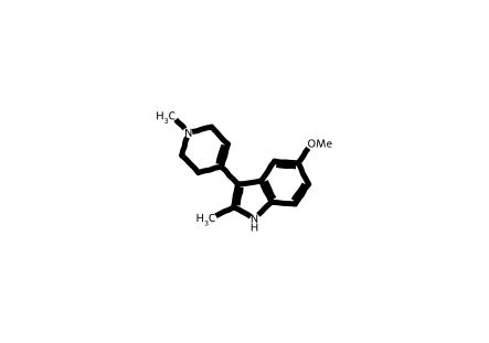 COc1ccc2[nH]c(C)c(C3=CCN(C)CC3)c2c1